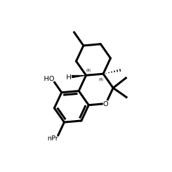 CCCc1cc(O)c2c(c1)OC(C)(C)[C@]1(C)CCC(C)C[C@@H]21